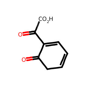 O=C(O)C(=O)C1=CC=CCC1=O